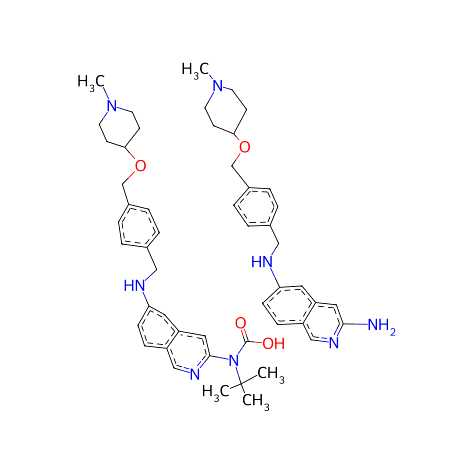 CN1CCC(OCc2ccc(CNc3ccc4cnc(N(C(=O)O)C(C)(C)C)cc4c3)cc2)CC1.CN1CCC(OCc2ccc(CNc3ccc4cnc(N)cc4c3)cc2)CC1